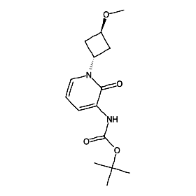 CO[C@H]1C[C@H](n2cccc(NC(=O)OC(C)(C)C)c2=O)C1